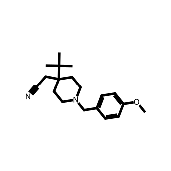 COc1ccc(CN2CCC(CC#N)(C(C)(C)C)CC2)cc1